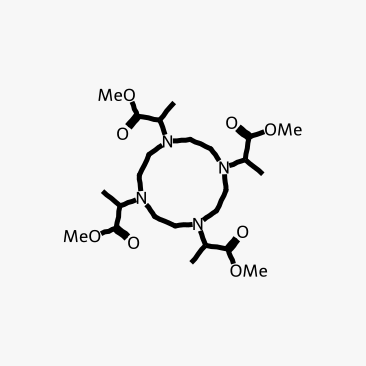 COC(=O)C(C)N1CCN(C(C)C(=O)OC)CCN(C(C)C(=O)OC)CCN(C(C)C(=O)OC)CC1